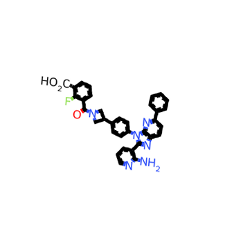 Nc1ncccc1-c1nc2ccc(-c3ccccc3)nc2n1-c1ccc(C2CN(C(=O)c3cccc(C(=O)O)c3F)C2)cc1